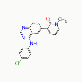 Cn1cccc(-c2ccc3ncnc(Nc4ccc(Cl)cc4)c3c2)c1=O